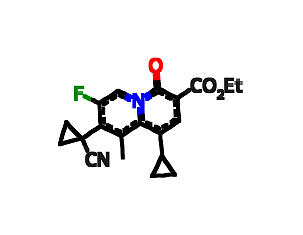 CCOC(=O)c1cc(C2CC2)c2c(C)c(C3(C#N)CC3)c(F)cn2c1=O